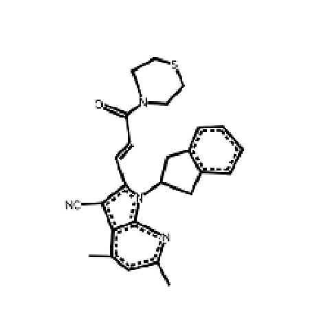 Cc1cc(C)c2c(C#N)c(C=CC(=O)N3CCSCC3)n(C3Cc4ccccc4C3)c2n1